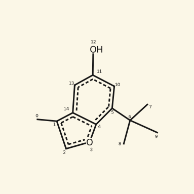 Cc1coc2c(C(C)(C)C)cc(O)cc12